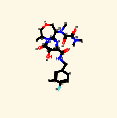 CC1=CC(CNC(=O)c2nc3n(c(=O)c2O)C(C)COCC3N(C)C(=O)C(=O)N(C)C)CC=C1F